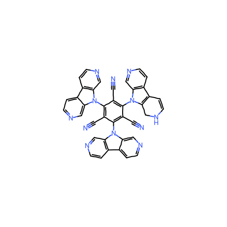 N#Cc1c(-n2c3c(c4ccncc42)C=CNC3)c(C#N)c(-n2c3cnccc3c3ccncc32)c(C#N)c1-n1c2cnccc2c2ccncc21